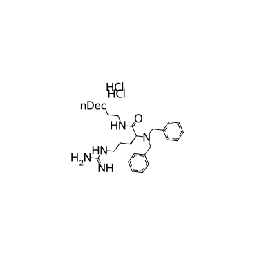 CCCCCCCCCCCCNC(=O)[C@H](CCCNC(=N)N)N(Cc1ccccc1)Cc1ccccc1.Cl.Cl